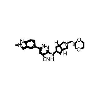 Cn1cc2cc(-c3cc(C#N)c(NC4C[C@@H]5CN(C[C@H]6COCCO6)C[C@@H]5C4)nn3)ccc2n1